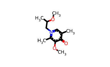 COc1c(C)n(CC(C)OC)cc(C)c1=O